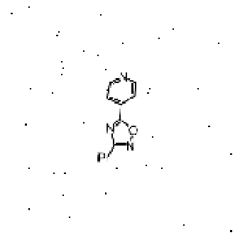 CC(C)c1noc(-c2ccncc2)n1